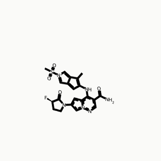 CC1=C(Nc2c(C(N)=O)cnn3cc(N4CC[C@@H](F)C4=O)cc23)C=C2C=[N+](S(C)(=O)=O)C=C21